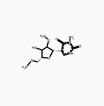 NOC[C@H]1O[C@@H](c2c[nH]c(=O)n(N)c2=O)C(ON)C1O